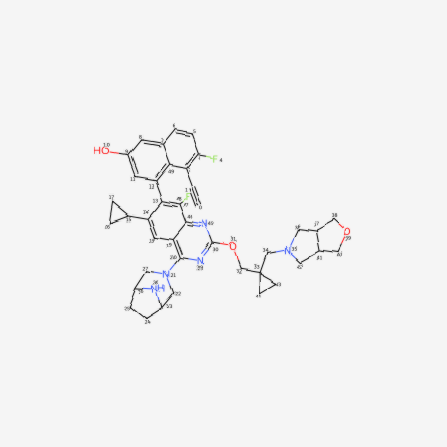 C#Cc1c(F)ccc2cc(O)cc(-c3c(C4CC4)cc4c(N5CC6CCC(C5)N6)nc(OCC5(CN6CC7COCC7C6)CC5)nc4c3F)c12